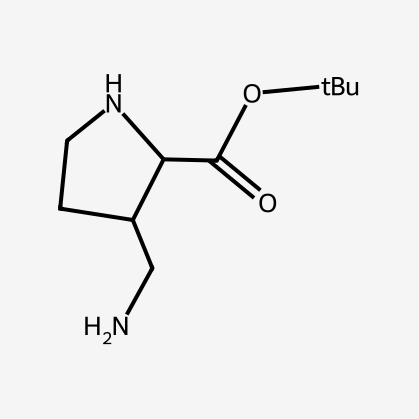 CC(C)(C)OC(=O)C1NCCC1CN